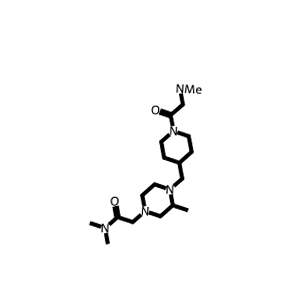 CNCC(=O)N1CCC(CN2CCN(CC(=O)N(C)C)CC2C)CC1